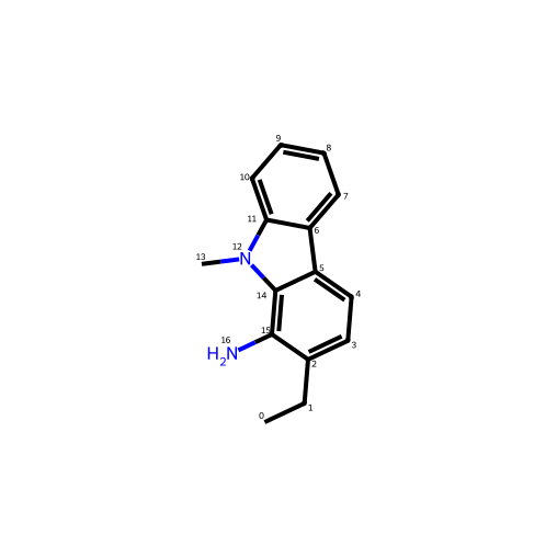 CCc1ccc2c3ccccc3n(C)c2c1N